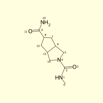 CNC(=O)N1CC2CC(C(N)=O)CC2C1